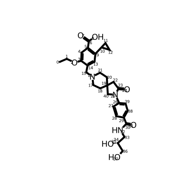 CCOc1cc(C(=O)O)c(C2CC2)cc1CN1CCC2(CC1)CC(=O)N(c1ccc(C(=O)NC[C@@H](O)CO)cc1)C2